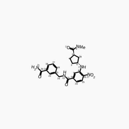 CNC(=O)[C@@H]1CC[C@@H](Nc2cc(C(=O)NCc3cccc(C(N)=O)c3)ccc2[N+](=O)[O-])C1